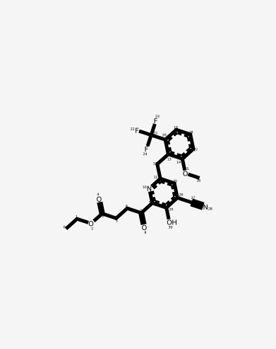 CCOC(=O)CCC(=O)c1nc(Cc2c(OC)cccc2C(F)(F)F)cc(C#N)c1O